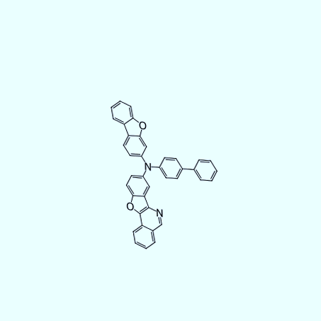 c1ccc(-c2ccc(N(c3ccc4c(c3)oc3ccccc34)c3ccc4oc5c6ccccc6cnc5c4c3)cc2)cc1